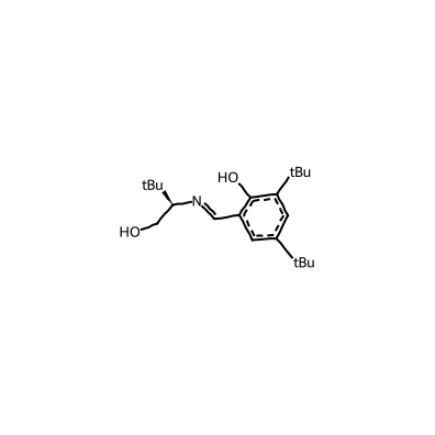 CC(C)(C)c1cc(/C=N/[C@@H](CO)C(C)(C)C)c(O)c(C(C)(C)C)c1